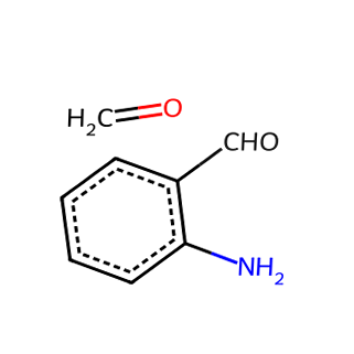 C=O.Nc1ccccc1C=O